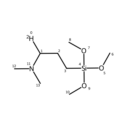 [2H]C(CC[Si](OC)(OC)OC)N(C)C